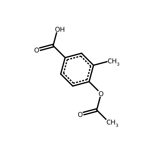 CC(=O)Oc1ccc(C(=O)O)cc1C